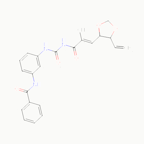 C=CC1OCOC1/C=C(\C)C(=O)NC(=O)Nc1cccc(NC(=O)c2ccccc2)c1